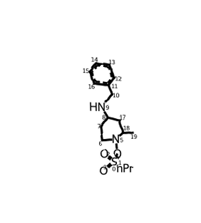 CCCS(=O)(=O)ON1CCC(NCc2ccccc2)CC1C